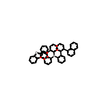 c1ccc(-c2cccc3ccccc23)c(-c2ccccc2N(c2ccccc2-c2ccc3c(c2)oc2ccccc23)c2cccc3sc4ccccc4c23)c1